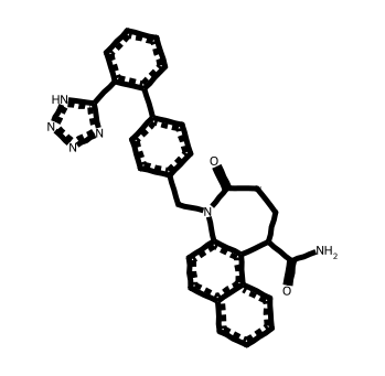 NC(=O)C1C[C]C(=O)N(Cc2ccc(-c3ccccc3-c3nnn[nH]3)cc2)c2ccc3ccccc3c21